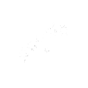 Cl.Cl.O=C1O[C@]2(CC[C@H](CNc3ccc(-c4cccc(F)n4)nn3)CC2)CN1c1cccnn1